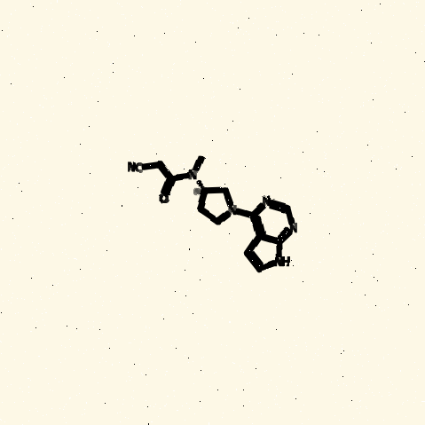 CN(C(=O)CC#N)[C@H]1CCN(c2ncnc3[nH]ccc23)C1